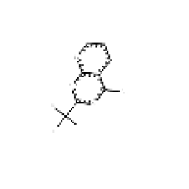 FC(F)(F)c1nc(S)c2cccnc2n1